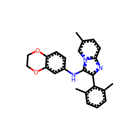 Cc1ccc2nc(-c3c(C)cccc3C)c(Nc3ccc4c(c3)OCCO4)n2c1